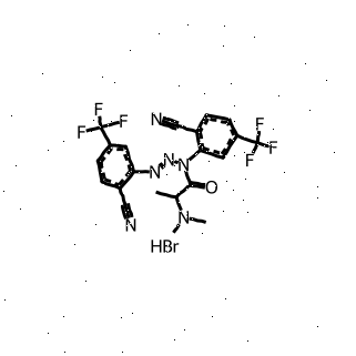 Br.CC(C(=O)N(N=Nc1cc(C(F)(F)F)ccc1C#N)c1cc(C(F)(F)F)ccc1C#N)N(C)C